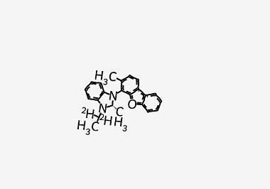 [2H]C([2H])(C)N1c2ccccc2N(c2c(C)ccc3c2oc2ccccc23)[C@@H]1C